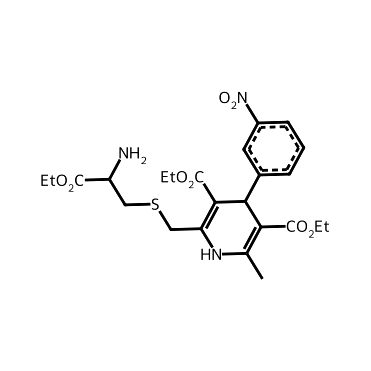 CCOC(=O)C1=C(C)NC(CSCC(N)C(=O)OCC)=C(C(=O)OCC)C1c1cccc([N+](=O)[O-])c1